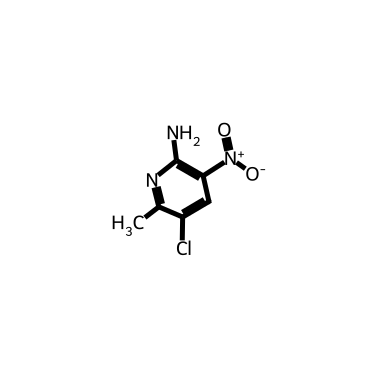 Cc1nc(N)c([N+](=O)[O-])cc1Cl